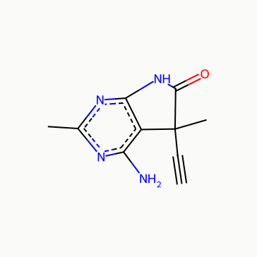 C#CC1(C)C(=O)Nc2nc(C)nc(N)c21